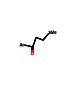 CSCCC(=O)C(C)=O